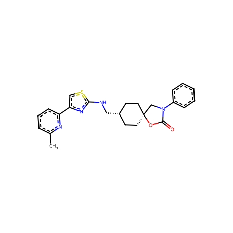 Cc1cccc(-c2csc(NC[C@H]3CC[C@]4(CC3)CN(c3ccccc3)C(=O)O4)n2)n1